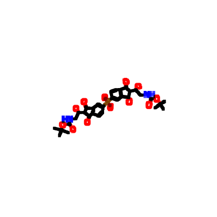 CC(C)(C)OC(=O)NCC(=O)C1C(=O)c2ccc(S(=O)(=O)c3ccc4c(c3)C(=O)C(C(=O)CNC(=O)OC(C)(C)C)C4=O)cc2C1=O